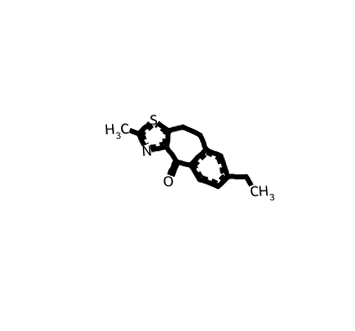 CCc1ccc2c(c1)CCc1sc(C)nc1C2=O